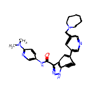 CN(C)c1ccc(NC(=O)c2n[nH]c3ccc(-c4cncc(CN5CCCCCC5)c4)cc23)cn1